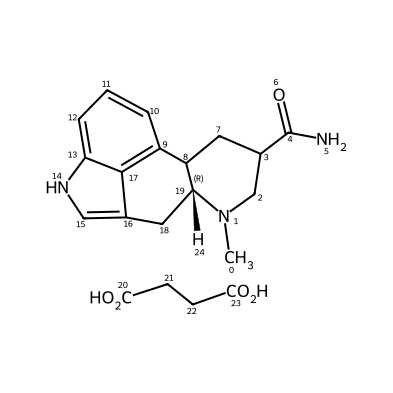 CN1CC(C(N)=O)CC2c3cccc4[nH]cc(c34)C[C@H]21.O=C(O)CCC(=O)O